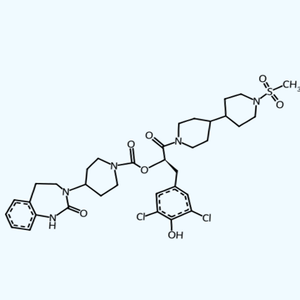 CS(=O)(=O)N1CCC(C2CCN(C(=O)[C@@H](Cc3cc(Cl)c(O)c(Cl)c3)OC(=O)N3CCC(N4CCc5ccccc5NC4=O)CC3)CC2)CC1